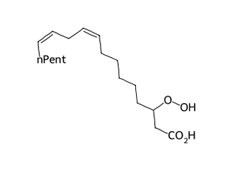 CCCCC/C=C\C/C=C\CCCCCC(CC(=O)O)OO